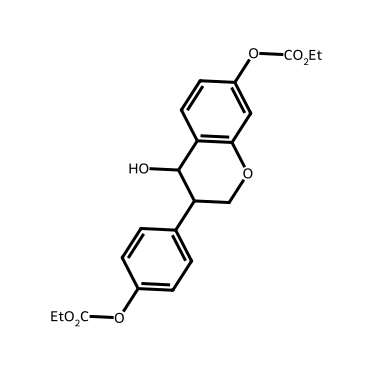 CCOC(=O)Oc1ccc(C2COc3cc(OC(=O)OCC)ccc3C2O)cc1